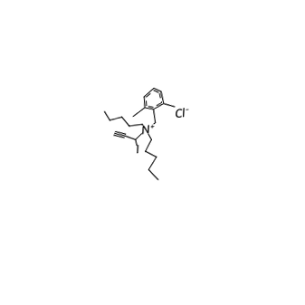 C#CC(I)[N+](CCCCC)(CCCCC)Cc1c(C)cccc1C.[Cl-]